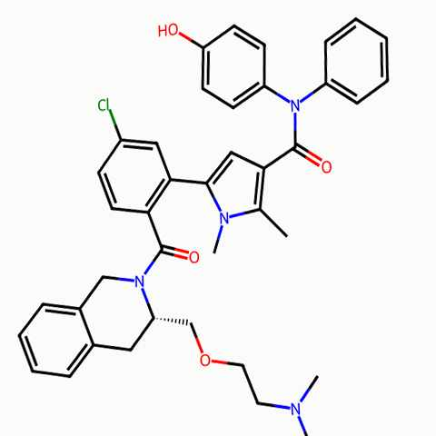 Cc1c(C(=O)N(c2ccccc2)c2ccc(O)cc2)cc(-c2cc(Cl)ccc2C(=O)N2Cc3ccccc3C[C@H]2COCCN(C)C)n1C